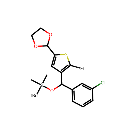 CCc1sc(C2OCCO2)cc1C(O[Si](C)(C)C(C)(C)C)c1cccc(Cl)c1